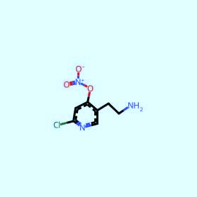 NCCc1cnc(Cl)cc1O[N+](=O)[O-]